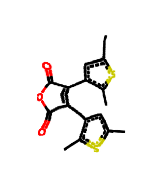 Cc1cc(C2=C(c3cc(C)sc3C)C(=O)OC2=O)c(C)s1